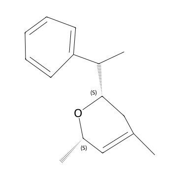 CC1=C[C@H](C)O[C@H](C(C)c2ccccc2)C1